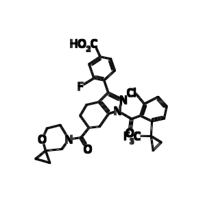 O=C(O)c1ccc(-c2nn(C(=O)c3c(Cl)cccc3C3(C(F)(F)F)CC3)c3c2CCC(C(=O)N2CCOC4(CC4)C2)C3)c(F)c1